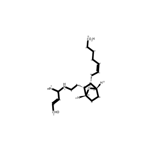 CCCC(C=CC=O)NCC[C@@H]1[C@H](C/C=C\CCCC(=O)O)[C@@H]2CC[C@H]1O2